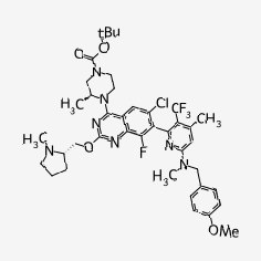 COc1ccc(CN(C)c2cc(C)c(C(F)(F)F)c(-c3c(Cl)cc4c(N5CCN(C(=O)OC(C)(C)C)C[C@@H]5C)nc(OC[C@@H]5CCCN5C)nc4c3F)n2)cc1